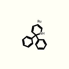 C1=CNC(c2ccccc2)(c2ccccc2)C=C1.[Ru]